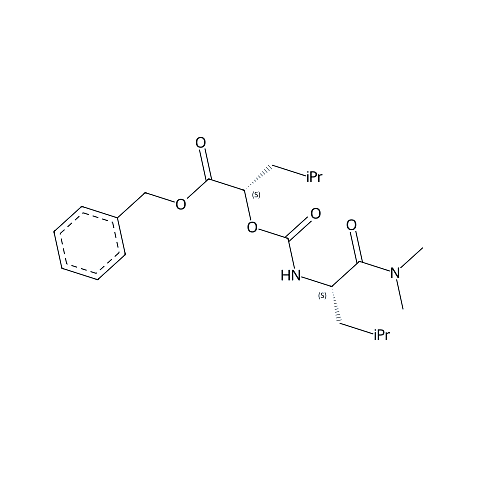 CC(C)C[C@H](NC(=O)O[C@@H](CC(C)C)C(=O)OCc1ccccc1)C(=O)N(C)C